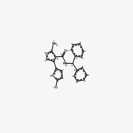 Nc1onc(-c2ccc(Cl)o2)c1C(=O)NC(c1ccccc1)c1ccccc1